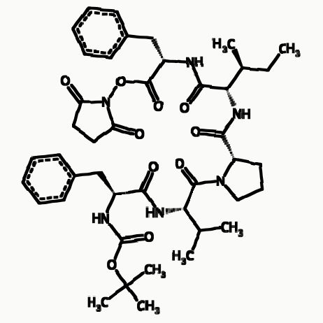 CC[C@H](C)[C@H](NC(=O)[C@@H]1CCCN1C(=O)[C@@H](NC(=O)[C@H](Cc1ccccc1)NC(=O)OC(C)(C)C)C(C)C)C(=O)N[C@@H](Cc1ccccc1)C(=O)ON1C(=O)CCC1=O